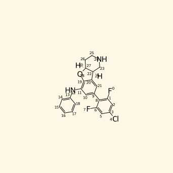 Fc1cc(Cl)cc(F)c1-c1cc(Nc2ccccc2)c2c(c1)[C@@H]1CNCC[C@@H]1O2